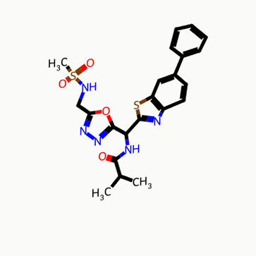 CC(C)C(=O)NC(c1nnc(CNS(C)(=O)=O)o1)c1nc2ccc(-c3ccccc3)cc2s1